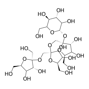 OCC1O[C@@H](O[C@]2(CO[C@]3(CO[C@]4(CO)O[C@H](CO)C(O)[C@H]4O)O[C@H](CO)C(O)[C@H]3O)O[C@H](CO)C(O)[C@H]2O)C(O)[C@@H](O)[C@@H]1O